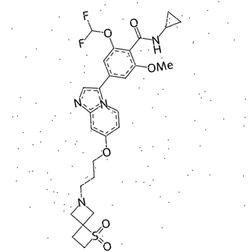 COc1cc(-c2cnc3cc(OCCCN4CC5(CCS5(=O)=O)C4)ccn23)cc(OC(F)F)c1C(=O)NC1CC1